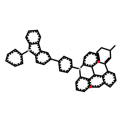 CC1C=C(c2cccc3cccc(-c4ccccc4N(c4ccccc4)c4ccc(-c5ccc6c(c5)c5ccccc5n6-c5ccccc5)cc4)c23)C=CC1